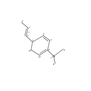 C/C=C/C1C=CC(N(C)C)=CC1